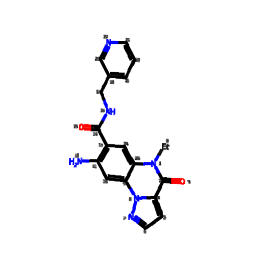 CCn1c(=O)c2ccnn2c2cc(N)c(C(=O)NCc3cccnc3)cc21